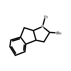 CCN1C2Cc3ccccc3C2CC1C(C)(C)C